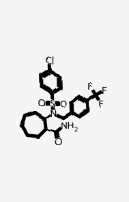 NC(=O)[C@H]1CCCCC[C@H]1N(Cc1ccc(C(F)(F)F)cc1)S(=O)(=O)c1ccc(Cl)cc1